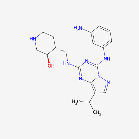 CC(C)c1cnn2c(Nc3cccc(N)c3)nc(NC[C@H]3CCNC[C@@H]3O)nc12